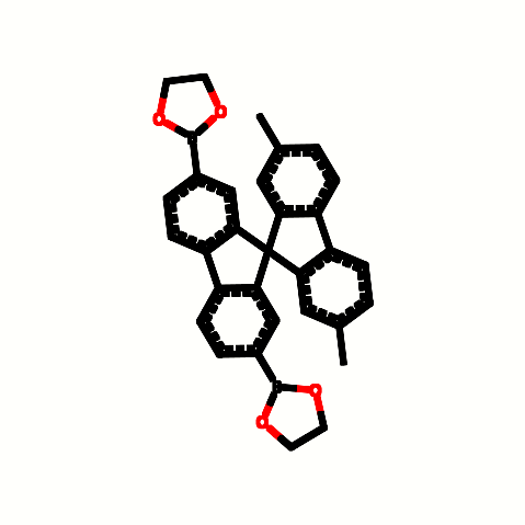 Cc1ccc2c(c1)C1(c3cc(C)ccc3-2)c2cc(B3OCCO3)ccc2-c2ccc(B3OCCO3)cc21